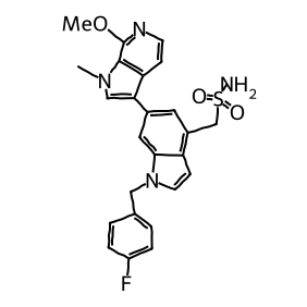 COc1nccc2c(-c3cc(CS(N)(=O)=O)c4ccn(Cc5ccc(F)cc5)c4c3)cn(C)c12